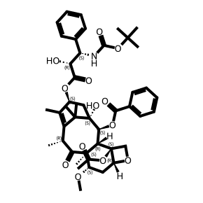 CO[C@H]1C[C@H]2OC[C@@]2(OC(C)=O)[C@H]2[C@H](OC(=O)c3ccccc3)[C@]3(O)C[C@H](OC(=O)[C@H](O)[C@@H](NC(=O)OC(C)(C)C)c4ccccc4)C(C)=C([C@@H](C)C(=O)[C@]12C)C3(C)C